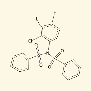 O=S(=O)(c1ccccc1)N(c1ccc(F)c(I)c1Cl)S(=O)(=O)c1ccccc1